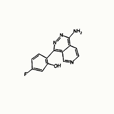 Nc1nnc(-c2ccc(F)cc2O)c2cnccc12